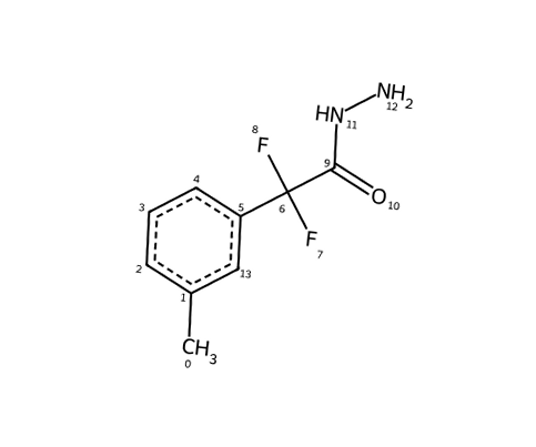 Cc1cccc(C(F)(F)C(=O)NN)c1